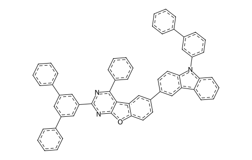 c1ccc(-c2cc(-c3ccccc3)cc(-c3nc(-c4ccccc4)c4c(n3)oc3ccc(-c5ccc6c(c5)c5ccccc5n6-c5cccc(-c6ccccc6)c5)cc34)c2)cc1